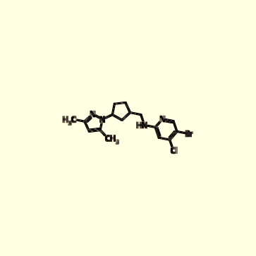 Cc1cc(C)n(C2CCC(CNc3cc(Cl)c(Br)cn3)C2)n1